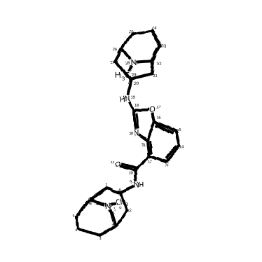 CN1C2CCCC1CC(NC(=O)c1cccc3oc(NC4CC5CCCC(C4)N5C)nc13)C2